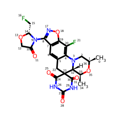 C[C@@H]1CN2c3c(cc4c(N5C(=O)CO[C@@H]5CF)noc4c3F)CC3(C(=O)NC(=O)NC3=O)[C@H]2[C@H](C)O1